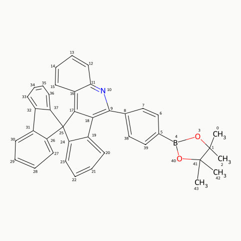 CC1(C)OB(c2ccc(-c3nc4ccccc4c4c3-c3ccccc3C43c4ccccc4-c4ccccc43)cc2)OC1(C)C